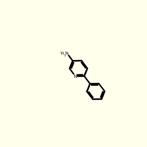 Nc1ccc(-c2[c]cccc2)nc1